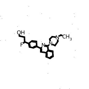 CCN1CCN(c2nc(-c3ccc(C(F)CCO)cc3)cc3ccccc23)CC1